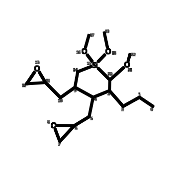 CCCC1C(CC2CO2)C(CC2CO2)C[Si](OC)(OC)C1OC